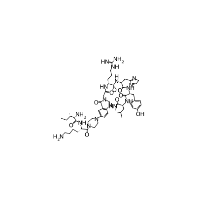 CC[C@H](C)[C@H](N)C(=O)N[C@@H](CCCCN)C(=O)N1CCN(c2ccc3ncn(CC(=O)N[C@H](CCCNC(=N)N)C(=O)N[C@@H](CC4=NCC=N4)C(=O)N[C@@H](Cc4ccc(O)cc4)C(=O)N[C@@H](CC(C)C)C(=O)NC)c(=O)c3c2)CC1